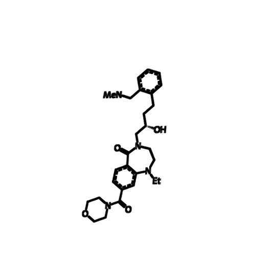 CCN1CCN(C[C@@H](O)CCc2ccccc2CNC)C(=O)c2ccc(C(=O)N3CCOCC3)cc21